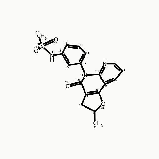 CC1Cc2c(c3cccnc3n(-c3cccc(NS(C)(=O)=O)c3)c2=O)O1